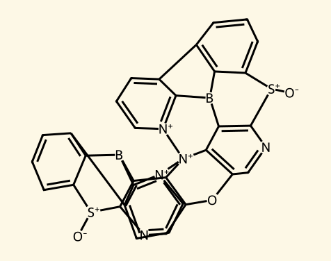 [O-][S+]1c2cccc3c2B2c4c1ncc1c4[N+]4(c5c(cnc6c5B5c7c(cccc7[S+]6[O-])-c6ccc[n+]4c65)O1)[n+]1cccc-3c12